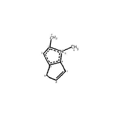 Cc1cc2c(n1C)C=CC2